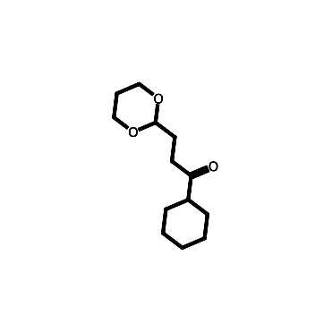 O=C(CCC1OCCCO1)C1CCCCC1